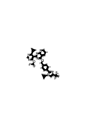 FC(F)Oc1ncnc(C2CC2)c1-c1nc(OCc2ccc(-c3nc(C(F)(F)F)cn3C3CC3)cc2)c2cccnc2n1